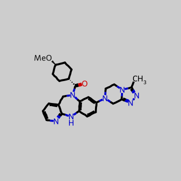 CO[C@H]1CC[C@H](C(=O)N2Cc3cccnc3Nc3ccc(N4CCn5c(C)nnc5C4)cc32)CC1